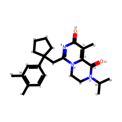 Cc1ccc(C2(Cc3nc(=O)c(C)c4n3CCN(C(C)C)C4=O)CCCC2)cc1C